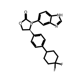 O=C1OC[C@H](c2ccc(C3CCC(F)(F)CC3)cc2)N1c1ccc2[nH]cnc2c1